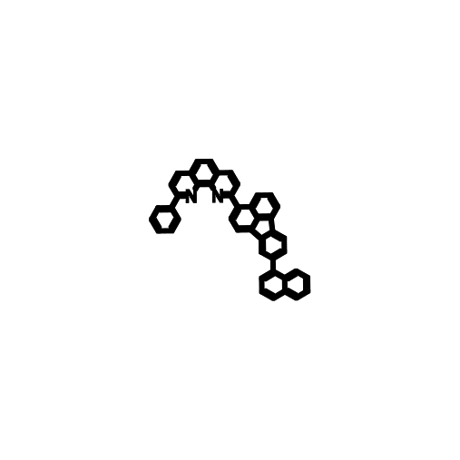 c1ccc(-c2ccc3ccc4ccc(-c5ccc6c7c(cccc57)-c5ccc(-c7cccc8ccccc78)cc5-6)nc4c3n2)cc1